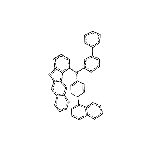 C1=CC(c2cccc3ccccc23)CC=C1N(c1cccc(-c2ccccc2)c1)c1cccc2oc3cc4cccnc4cc3c12